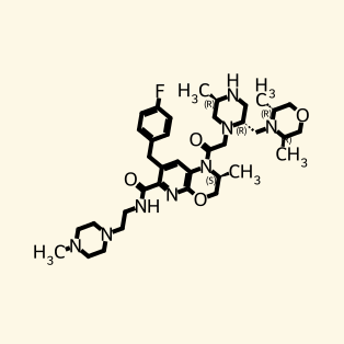 C[C@@H]1CN(CC(=O)N2c3cc(Cc4ccc(F)cc4)c(C(=O)NCCN4CCN(C)CC4)nc3OC[C@@H]2C)[C@@H](CN2[C@H](C)COC[C@H]2C)CN1